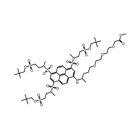 COC(=O)COCCOCCOCCCC(C)Nc1cc(S(=O)(=O)N(C)CCS(=O)(=O)OCC(C)(C)C)c2ccc3c(S(=O)(=O)N(C)CCS(=O)(=O)OCC(C)(C)C)cc(S(=O)(=O)N(C)CCS(=O)(=O)OCC(C)(C)C)c4ccc1c2c43